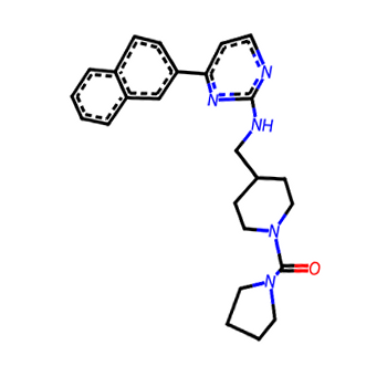 O=C(N1CCCC1)N1CCC(CNc2nccc(-c3ccc4ccccc4c3)n2)CC1